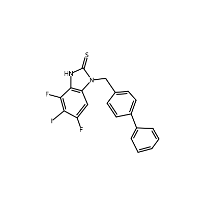 Fc1cc2c([nH]c(=S)n2Cc2ccc(-c3ccccc3)cc2)c(F)c1I